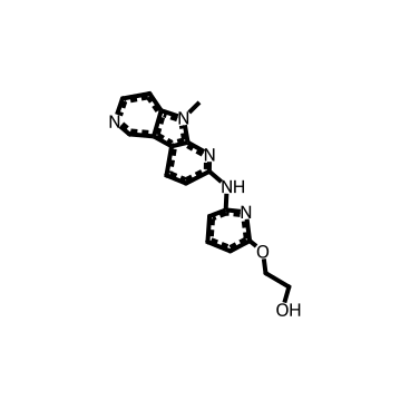 Cn1c2ccncc2c2ccc(Nc3cccc(OCCO)n3)nc21